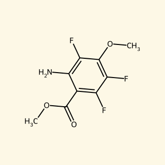 COC(=O)c1c(N)c(F)c(OC)c(F)c1F